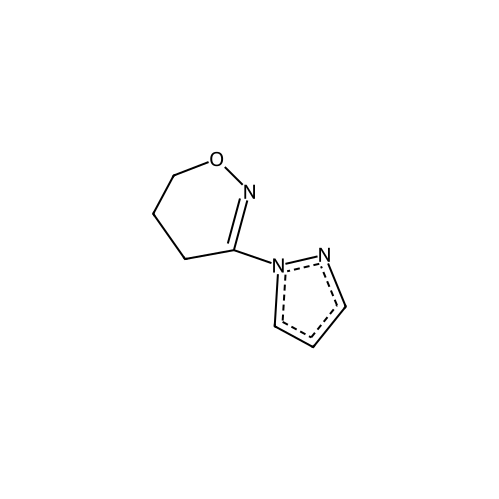 c1cnn(C2=NOCCC2)c1